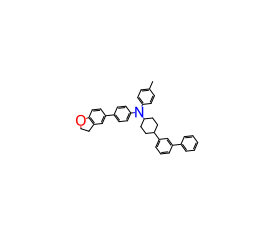 Cc1ccc(N(c2ccc(-c3ccc4c(c3)CCO4)cc2)C2CCC(c3cccc(-c4ccccc4)c3)CC2)cc1